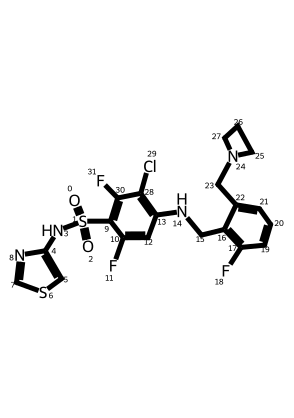 O=S(=O)(Nc1cscn1)c1c(F)cc(NCc2c(F)cccc2CN2CCC2)c(Cl)c1F